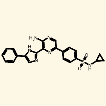 Nc1ncc(-c2ccc(S(=O)(=O)NC3CC3)cc2)nc1-c1ncc(-c2ccccc2)[nH]1